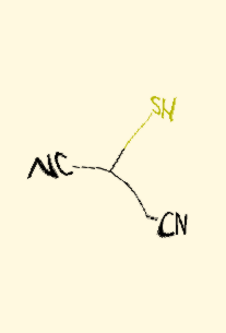 N#CC(S)C#N